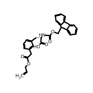 C=CCOC(=O)Cc1cccc(C[C@H](NC(=O)OCC2c3ccccc3-c3ccccc32)C(=O)O)c1